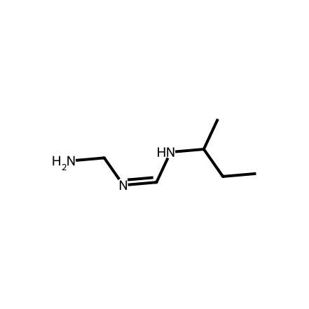 CCC(C)N/C=N\CN